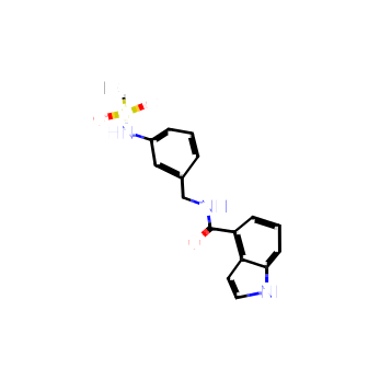 CS(=O)(=O)Nc1cccc(CNC(=O)c2cccc3[nH]ccc23)c1